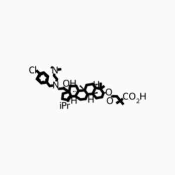 CC(C)C1=C2[C@H]3CC[C@@H]4[C@@]5(C)CC[C@H](OC(=O)CC(C)(C)C(=O)O)C(C)(C)[C@@H]5CC[C@@]4(C)[C@]3(C)CCC2(C(O)CN(CCN(C)C)Cc2ccc(Cl)cc2)CC1